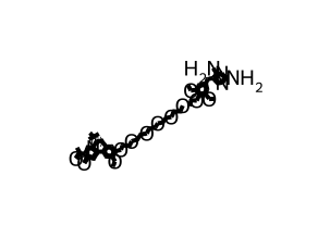 COc1cc2c(cc1OCCOCCOCCOCCOCCOCCOc1c(OC)cc(Cc3cnc(N)nc3N)cc1OC)C[C@@H](C(C)(C)C)n1cc(C(C)=O)c(=O)cc1-2